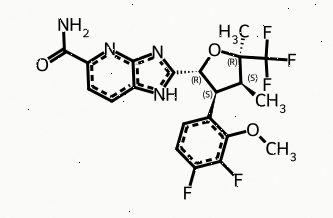 COc1c([C@H]2[C@H](c3nc4nc(C(N)=O)ccc4[nH]3)O[C@@](C)(C(F)(F)F)[C@H]2C)ccc(F)c1F